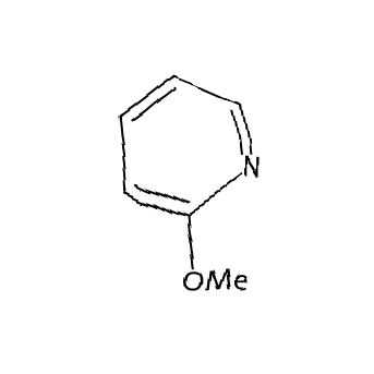 [CH]Oc1ccccn1